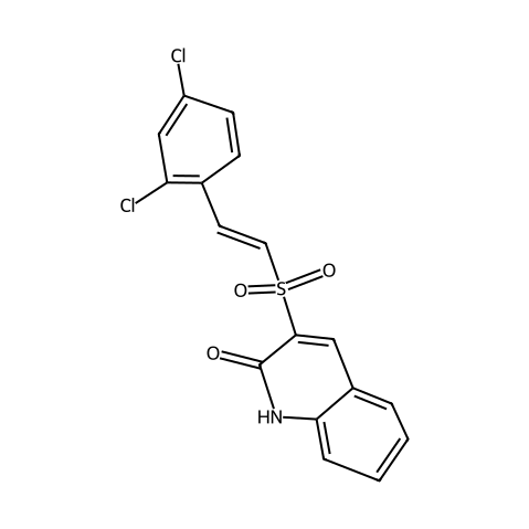 O=c1[nH]c2ccccc2cc1S(=O)(=O)C=Cc1ccc(Cl)cc1Cl